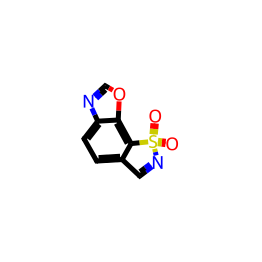 O=S1(=O)N=Cc2ccc3ncoc3c21